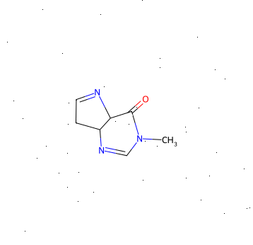 CN1C=NC2CC=NC2C1=O